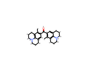 Cc1c(C(=O)c2cc3c4c(c2C)CCCN4CCC3)cc2c3c1CCCN3CCC2